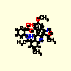 COc1ccc(-c2cc3c([C@H](C)Nc4ccccc4C(=O)O)cc(C)cc3nc2-c2c(C)noc2C)cc1